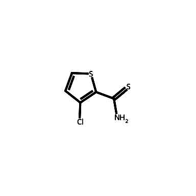 NC(=S)c1sccc1Cl